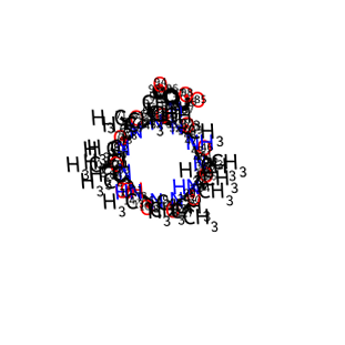 C/C=C/C[C@@H](C)[C@@H](O)[C@H]1C(=O)N[C@@H](CC)C(=O)N(C)CC(=O)N(C)[C@@H](CC(C)C)C(=O)N[C@@H](C(C)C)C(=O)N(C)[C@@H](CC(C)C)C(=O)N[C@@H](C)C(=O)N[C@H](C)C(=O)N(C)[C@@H](CC(C)C)C(=O)N(C)[C@@H](CC(C)C)C(=O)N(C)[C@@H](C(C)C)C(=O)N1C.O=c1ccc2cc3ccoc3cc2o1